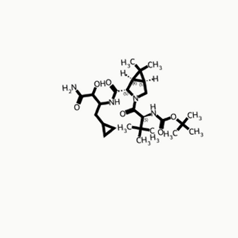 CC(C)(C)OC(=O)N[C@H](C(=O)N1C[C@H]2[C@@H]([C@H]1C(=O)NC(CC1CC1)C(O)C(N)=O)C2(C)C)C(C)(C)C